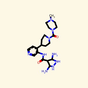 CN1CCN(C(=O)N2CCC(c3ccncc3NC(=O)C3C(N)NNC3N)CC2)CC1